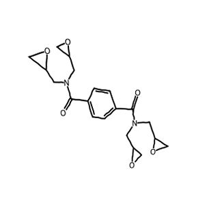 O=C(c1ccc(C(=O)N(CC2CO2)CC2CO2)cc1)N(CC1CO1)CC1CO1